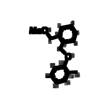 COCc1ccccc1COc1ccccc1C